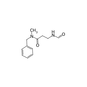 CN(Cc1ccccc1)C(=O)CCNC=O